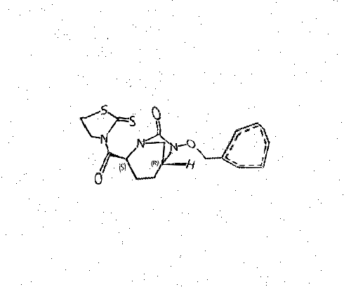 O=C([C@@H]1CC[C@@H]2CN1C(=O)N2OCc1ccccc1)N1CCSC1=S